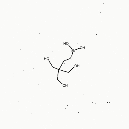 OCC(CO)(CO)C[O][Sb]([OH])[OH]